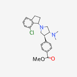 COC(=O)c1ccc([C@H]2CN(C3CCc4cccc(Cl)c43)C[C@@H]2N(C)C)cc1